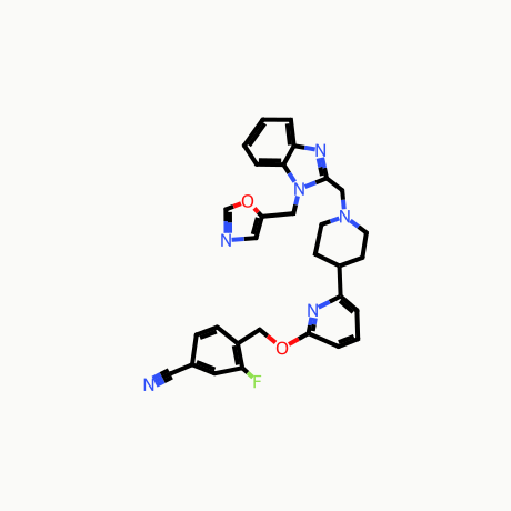 N#Cc1ccc(COc2cccc(C3CCN(Cc4nc5ccccc5n4Cc4cnco4)CC3)n2)c(F)c1